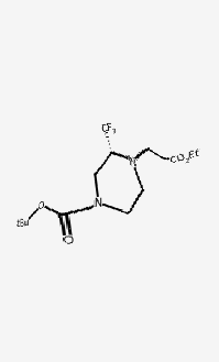 CCOC(=O)CN1CCN(C(=O)OC(C)(C)C)C[C@@H]1C(F)(F)F